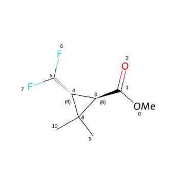 COC(=O)[C@@H]1[C@@H](C(F)F)C1(C)C